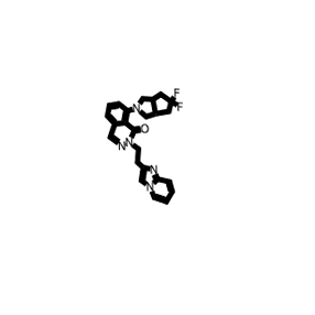 O=c1c2c(N3CC4CC(F)(F)CC4C3)cccc2cnn1CCc1cn2ccccc2n1